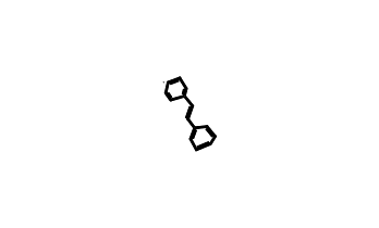 [c]1ccc(C=Cc2ccccc2)cc1